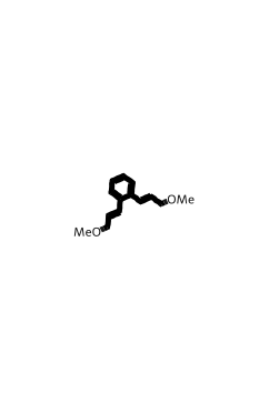 COCC=Cc1ccccc1C=CCOC